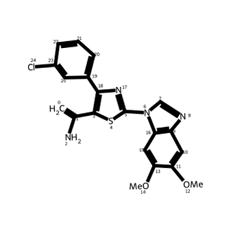 C=C(N)c1sc(-n2cnc3cc(OC)c(OC)cc32)nc1-c1cccc(Cl)c1